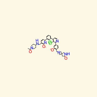 COc1cc(-c2nccc(-c3cccc(-c4ccc(CNC5CCN(C(C)=O)CC5)c(OC)n4)c3Cl)c2Cl)ccc1CN1CC2(CNC(=O)C2)C1